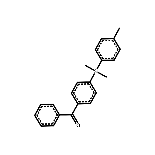 Cc1ccc([Si](C)(C)c2ccc(C(=O)c3ccccc3)cc2)cc1